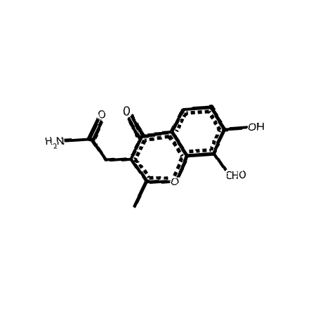 Cc1oc2c(C=O)c(O)ccc2c(=O)c1CC(N)=O